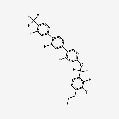 CCCc1ccc(C(F)(F)Oc2ccc(-c3ccc(-c4ccc(C(F)(F)F)c(F)c4)c(F)c3)c(F)c2)c(F)c1F